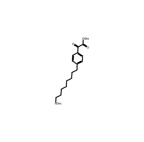 CCCCCCCCCCCCCCCCCCc1ccc(C(=O)C(=O)OC)cc1